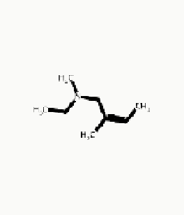 CC=C(C)CN(C)CC